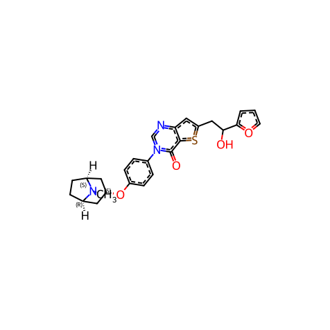 CN1[C@@H]2CC[C@H]1C[C@H](Oc1ccc(-n3cnc4cc(CC(O)c5ccco5)sc4c3=O)cc1)C2